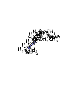 CC1=C(/C=C/C(C)=C/C=C/C(C)=C/C(=O)Oc2c(C)c(C)c3c(c2C)CCC(C)(CCCC(C)CCCC(C)CCCC(C)C)O3)C(C)(C)CCC1